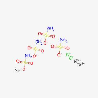 NS(=O)(=O)[O-].NS(=O)(=O)[O-].NS(=O)(=O)[O-].NS(=O)(=O)[O-].[Cl-].[Cl-].[Ni+2].[Ni+2].[Ni+2]